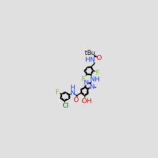 Cn1c(Nc2c(F)ccc(CNC(=O)C(C)(C)C)c2F)nc2cc(C(=O)Nc3cc(F)cc(Cl)c3)c(O)cc21